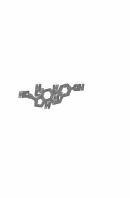 C#CC1=CC[C@H]2[C@@H]3C=Cc4cc(O)ccc4[C@H]3CC[C@]12C